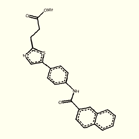 COC(=O)CCc1ncc(-c2ccc(NC(=O)c3ccc4ccccc4c3)cc2)s1